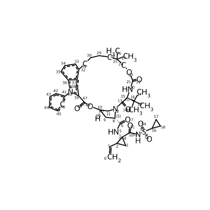 C=CC1C[C@]1(NC(=O)[C@@H]1C[C@@H]2CN1C(=O)[C@H](C(C)(C)C)NC(=O)OCC(C)(C)CCCCc1cccc3c1cc(n3-c1ccccc1)C(=O)O2)C(=O)NS(=O)(=O)C1CC1